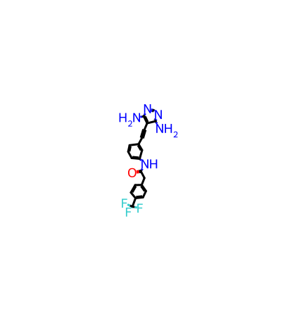 Nc1ncnc(N)c1C#Cc1cccc(NC(=O)Cc2ccc(C(F)(F)F)cc2)c1